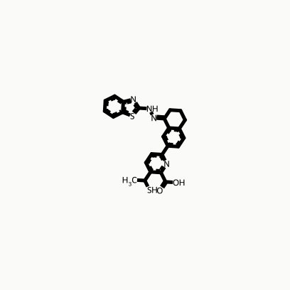 CC(S)c1ccc(-c2ccc3c(c2)/C(=N/Nc2nc4ccccc4s2)CCC3)nc1C(=O)O